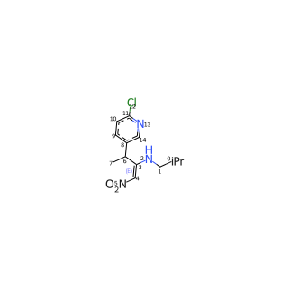 CC(C)CN/C(=C/[N+](=O)[O-])C(C)c1ccc(Cl)nc1